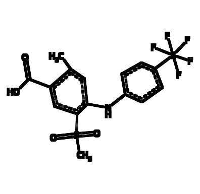 Cc1cc(Nc2ccc(S(F)(F)(F)(F)F)cc2)c(S(C)(=O)=O)cc1C(=O)O